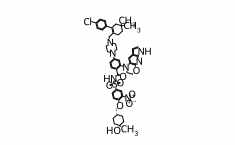 CC1(C)CCC(CN2CCN(c3ccc(C(=O)NS(=O)(=O)c4ccc(OC[C@H]5CC[C@@](C)(O)CC5)c([N+](=O)[O-])c4)c(N4CCOc5nc6[nH]ccc6cc54)c3)CC2)=C(c2ccc(Cl)cc2)C1